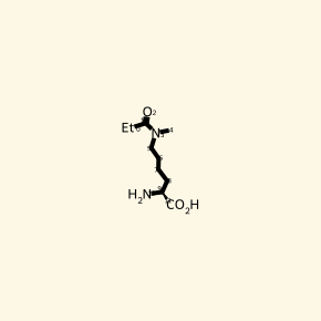 CCC(=O)N(C)CCCC[C@H](N)C(=O)O